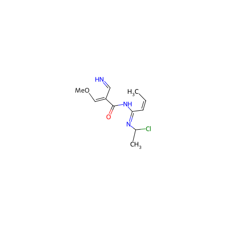 C/C=C\C(=N/C(C)Cl)NC(=O)/C(C=N)=C/OC